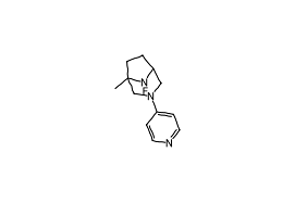 CC12CCC(CN(c3ccncc3)C1)N2F